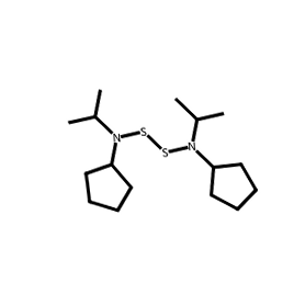 CC(C)N(SSN(C(C)C)C1CCCC1)C1CCCC1